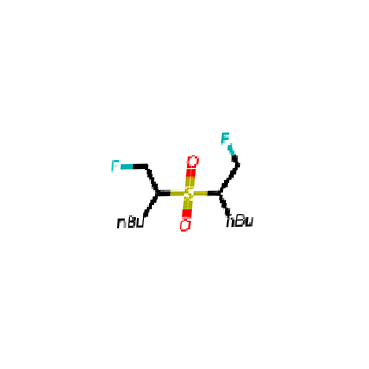 CCCCC(CF)S(=O)(=O)C(CF)CCCC